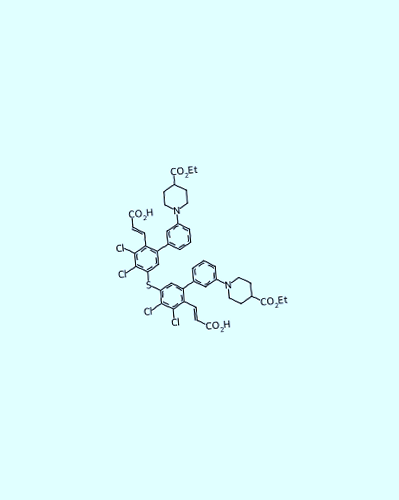 CCOC(=O)C1CCN(c2cccc(-c3cc(Sc4cc(-c5cccc(N6CCC(C(=O)OCC)CC6)c5)c(/C=C/C(=O)O)c(Cl)c4Cl)c(Cl)c(Cl)c3/C=C/C(=O)O)c2)CC1